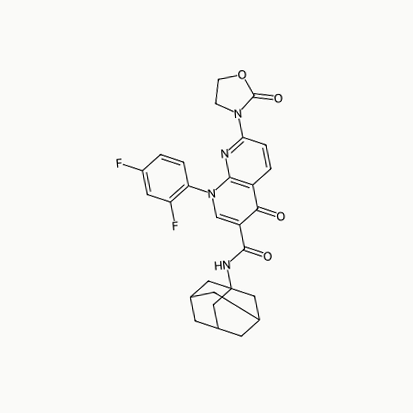 O=C(NC12CC3CC(CC(C3)C1)C2)c1cn(-c2ccc(F)cc2F)c2nc(N3CCOC3=O)ccc2c1=O